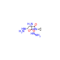 NNCCC(N)(C(=O)NC1CC1)C(=O)ONN